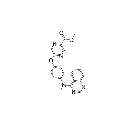 COC(=O)c1cnc(Oc2ccc(N(C)c3ncnc4ccccc34)cc2)cn1